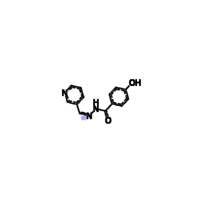 O=C(N/N=C\c1cccnc1)c1ccc(O)cc1